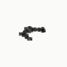 CCN(C(=O)[C@@H]1CCN(CC(=O)N2CC=C(c3ccc(-c4ncn(C)n4)cc3)CC2)C1)c1ccc2[nH]nc(-c3ccc(C#N)cn3)c2c1